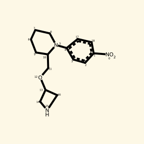 O=[N+]([O-])c1ccc(N2CCCCC2COC2CNC2)cc1